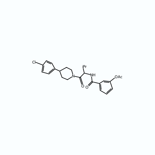 CC(=O)Oc1cccc(C(=O)NC(C(=O)N2CCC(c3ccc(Cl)cc3)CC2)C(C)C)c1